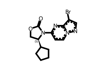 O=C1OC[C@H](C2CCCC2)N1c1ccn2ncc(Br)c2n1